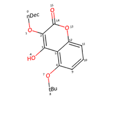 CCCCCCCCCCOc1c(O)c2c(OC(C)(C)C)cccc2oc1=O